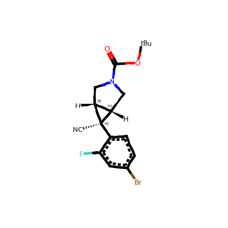 CC(C)(C)OC(=O)N1C[C@@H]2[C@H](C1)[C@@]2(C#N)c1ccc(Br)cc1F